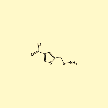 CCC(=O)c1csc(CSN)c1